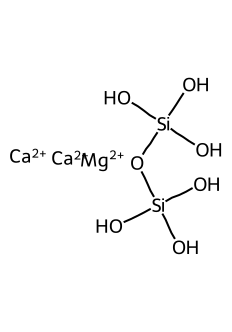 O[Si](O)(O)O[Si](O)(O)O.[Ca+2].[Ca+2].[Mg+2]